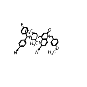 COc1ccc(Cn2c(=O)cc(N3C[C@@H](C)N(C(c4ccc(F)cc4)c4ccc(C#N)cc4)C[C@@H]3C)c3nc(C#N)ccc32)cc1